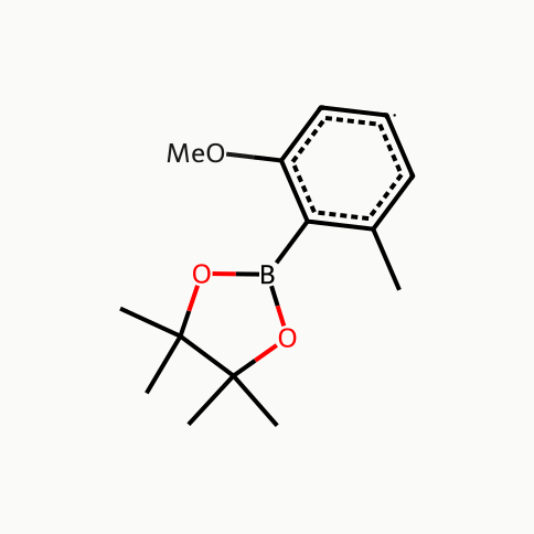 COc1c[c]cc(C)c1B1OC(C)(C)C(C)(C)O1